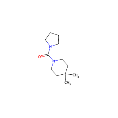 CC1(C)CCN(C(=O)N2CCCC2)CC1